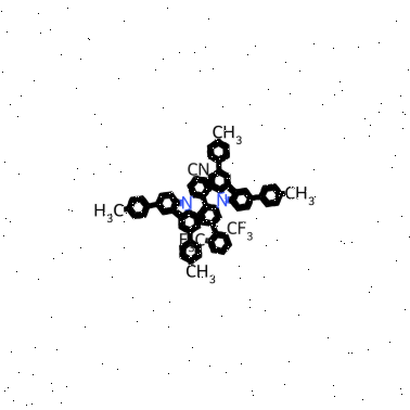 Cc1ccc(-c2ccc3c(c2)c2cc(-c4ccc(C)cc4)ccc2n3-c2cc(C#N)ccc2-c2ccc(-c3c(C(F)(F)F)cccc3C(F)(F)F)cc2-n2c3ccc(-c4ccc(C)cc4)cc3c3cc(-c4ccc(C)cc4)ccc32)cc1